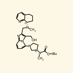 CN(Cc1nc2cccc(N3CC[C@@H](N(C)C(=O)OC(C)(C)C)C3)n2c1CO)[C@H]1CCCc2cccnc21